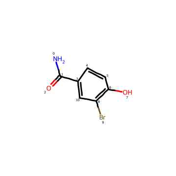 NC(=O)c1ccc(O)c(Br)c1